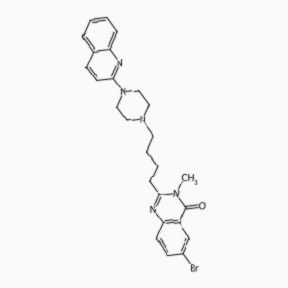 Cn1c(CCCCN2CCN(c3ccc4ccccc4n3)CC2)nc2ccc(Br)cc2c1=O